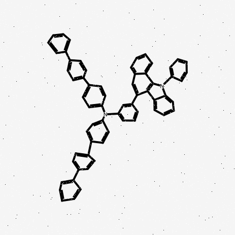 c1ccc(-c2ccc(-c3ccc(N(c4ccc(-c5ccc(-c6ccccc6)cc5)cc4)c4cccc(-c5cc6ccccc6c6c5c5ccccc5n6-c5ccccc5)c4)cc3)cc2)cc1